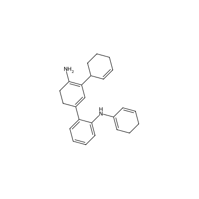 NC1=C(C2C=CCCC2)C=C(c2ccccc2NC2=CCCC=C2)CC1